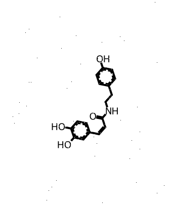 O=C(/C=C\c1ccc(O)c(O)c1)NCCc1ccc(O)cc1